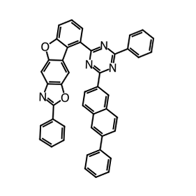 c1ccc(-c2ccc3cc(-c4nc(-c5ccccc5)nc(-c5cccc6oc7cc8nc(-c9ccccc9)oc8cc7c56)n4)ccc3c2)cc1